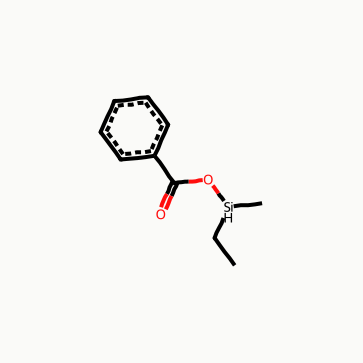 CC[SiH](C)OC(=O)c1ccccc1